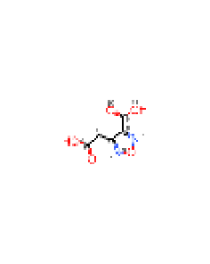 O=C(O)Cc1nonc1C(=O)O